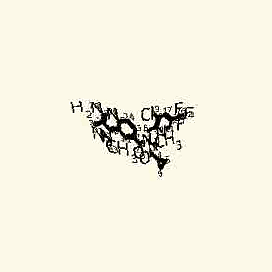 CN(C(=O)C1CC1)N(Cc1ncc(C(F)(F)F)cc1Cl)C(=O)c1ccc2nc(N)c3cnn(C)c3c2c1